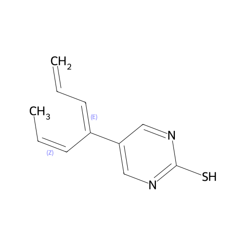 C=C/C=C(\C=C/C)c1cnc(S)nc1